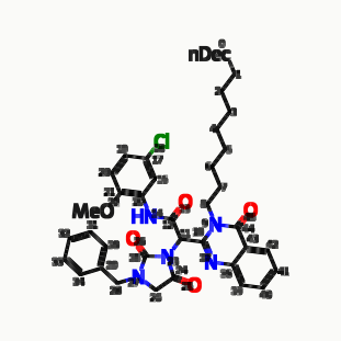 CCCCCCCCCCCCCCCCCCn1c(C(C(=O)Nc2cc(Cl)ccc2OC)N2C(=O)CN(Cc3ccccc3)C2=O)nc2ccccc2c1=O